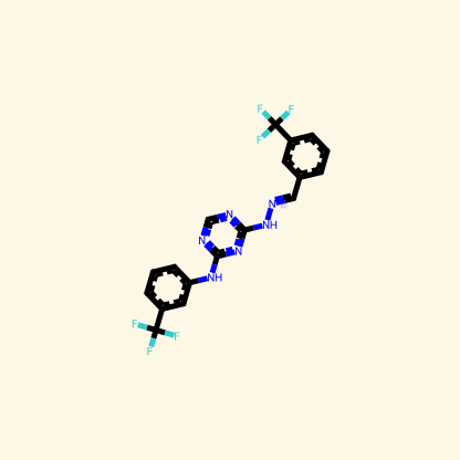 FC(F)(F)c1cccc(/C=N/Nc2ncnc(Nc3cccc(C(F)(F)F)c3)n2)c1